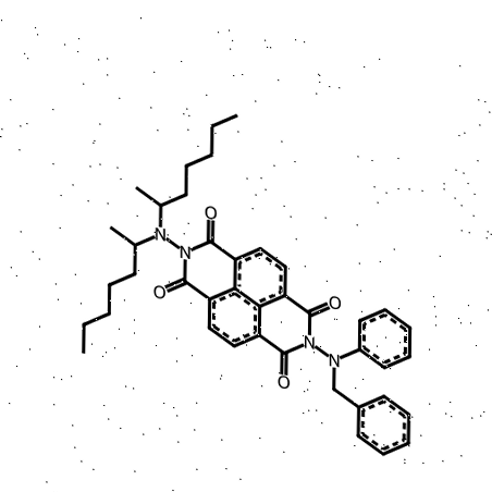 CCCCCC(C)N(C(C)CCCCC)N1C(=O)c2ccc3c4c(ccc(c24)C1=O)C(=O)N(N(Cc1ccccc1)c1ccccc1)C3=O